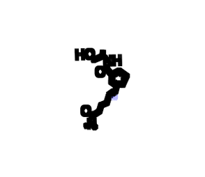 CC(CO)NC(=O)c1cccc(/C=C/CCCC(=O)N(C)C)c1